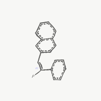 F/C(=C/c1ccc2ccccc2c1)c1ccccc1